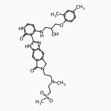 Cc1ccc(OCC(O)CNc2cc[nH]c(=O)c2-c2nc3cc4c(cc3[nH]2)C(=O)N(CCN(C)CCS(C)(=O)=O)C4)c(C)c1